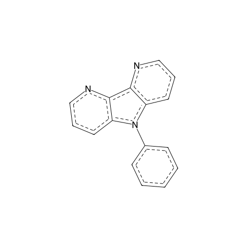 c1ccc(-n2c3cccnc3c3ncccc32)cc1